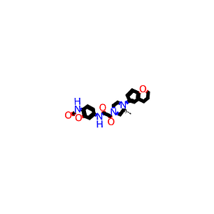 C[C@@H]1CN(C(=O)C(=O)Nc2ccc3[nH]c(=O)oc3c2)CCN1c1ccc2c(c1)CCCO2